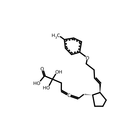 Cc1ccc(OCC/C=C/[C@H]2CCC[C@@H]2CC=C=CCC(O)(O)C(=O)O)cc1